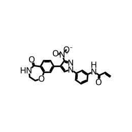 C=CC(=O)Nc1cccc(-n2cc(-c3ccc4c(c3)OCCNC4=O)c([N+](=O)[O-])n2)c1